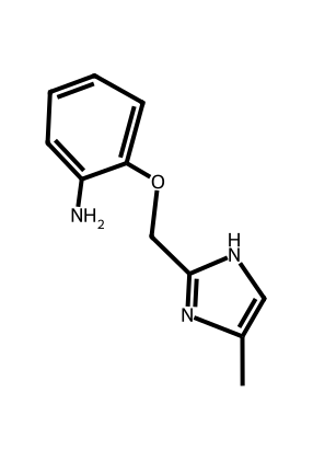 Cc1c[nH]c(COc2ccccc2N)n1